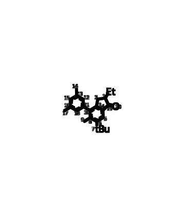 CCC1Cc2c(cc(C(C)(C)C)c(C)c2-c2cc(C)cc(C)c2)C1=O